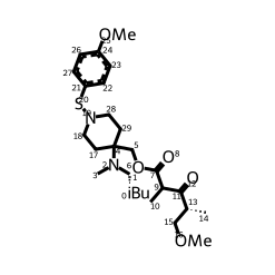 CC[C@@H](C)CN(C)C1(COC(=O)C(C)C(=O)[C@H](C)COC)CCN(Sc2ccc(OC)cc2)CC1